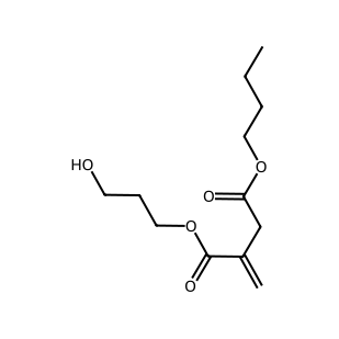 C=C(CC(=O)OCCCC)C(=O)OCCCO